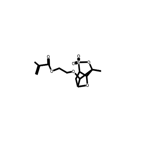 C=C(C)C(=O)OCCOC1C2CC3C(O2)C1(C)OS3(=O)=O